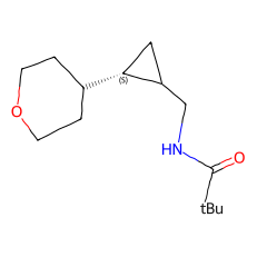 CC(C)(C)C(=O)NCC1C[C@H]1C1CCOCC1